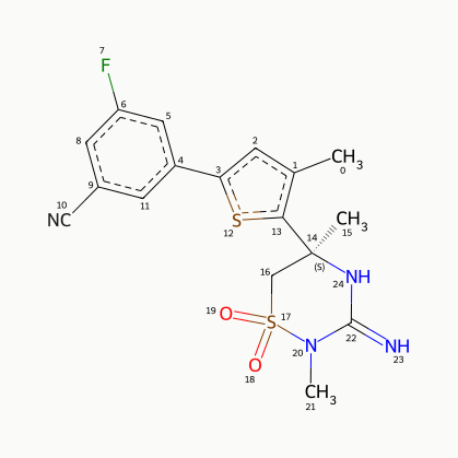 Cc1cc(-c2cc(F)cc(C#N)c2)sc1[C@]1(C)CS(=O)(=O)N(C)C(=N)N1